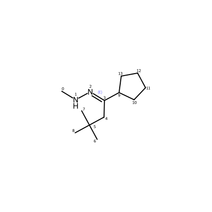 CN/N=C(\CC(C)(C)C)C1CCCC1